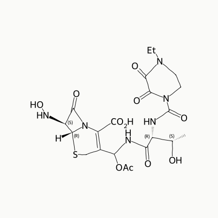 CCN1CCN(C(=O)N[C@@H](C(=O)NC(OC(C)=O)C2=C(C(=O)O)N3C(=O)[C@H](NO)[C@H]3SC2)[C@H](C)O)C(=O)C1=O